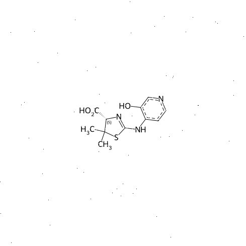 CC1(C)SC(Nc2ccncc2O)=N[C@H]1C(=O)O